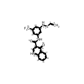 C=CSNc1cc(NC(=O)c2c[nH]c3ccccc3c2=O)cc(C(F)(F)F)c1